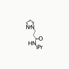 CC(C)NC(=O)CCn1cccn1